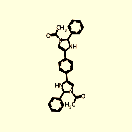 CC(=O)N1C=C(c2ccc(C3=CN(C(C)=O)C(c4ccccc4)N3)cc2)NC1c1ccccc1